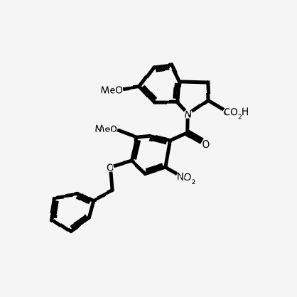 COc1ccc2c(c1)N(C(=O)c1cc(OC)c(OCc3ccccc3)cc1[N+](=O)[O-])C(C(=O)O)C2